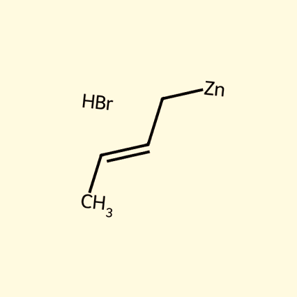 Br.CC=C[CH2][Zn]